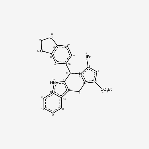 CCOC(=O)c1cc(C(C)C)n2c1Cc1c([nH]c3ccccc13)C2c1ccc2c(c1)OCO2